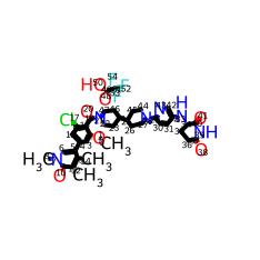 COc1cc(-c2cn(C)c(=O)c(C)c2C)cc(Cl)c1C(=O)N1CCC(C2CCN(c3ccc(NC4CCC(=O)NC4=O)cn3)CC2)CC1.O=C(O)C(F)(F)F